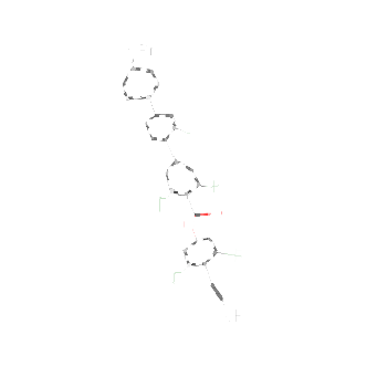 CCCc1ccc(-c2ccc(-c3cc(F)c(C(=O)Oc4cc(F)c(C#CC(F)(F)F)c(F)c4)c(F)c3)c(F)c2)cc1